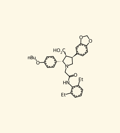 CCCCOc1ccc([C@@H]2[C@@H](C(=O)O)[C@@H](c3ccc4c(c3)OCO4)CN2CC(=O)Nc2c(CC)cccc2CC)cc1